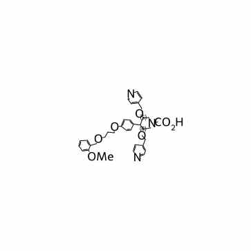 COc1ccccc1COCCCOc1ccc(C2[C@@H](OCc3ccncc3)CN(C(=O)O)C[C@H]2OCc2ccncc2)cc1